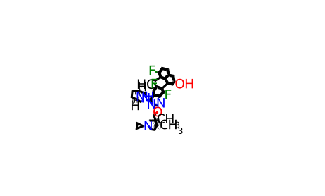 C#Cc1c(F)ccc2cc(O)cc(-c3c(F)cc4c(N5C[C@H]6CC[C@@H](C5)N6)nc(OC[C@@]5(C)CN(C6CC6)CC[C@H]5C)nc4c3F)c12